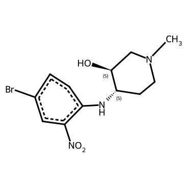 CN1CC[C@H](Nc2ccc(Br)cc2[N+](=O)[O-])[C@@H](O)C1